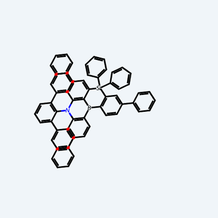 c1ccc(-c2ccc3c(c2)N(c2c(-c4ccccc4)cccc2-c2ccccc2)c2cc(-c4ccccc4)cc4c2B3c2ccc(-c3ccccc3)cc2[Si]4(c2ccccc2)c2ccccc2)cc1